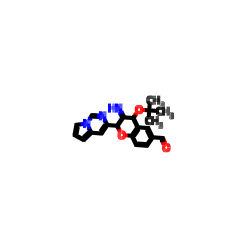 CC(C)(C)OC1C(=N)C(c2cc3cccn3cn2)Oc2ccc(C=O)cc21